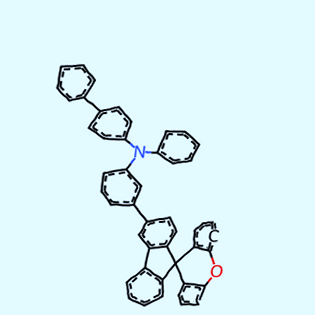 c1ccc(-c2ccc(N(c3ccccc3)c3cccc(-c4ccc5c(c4)-c4ccccc4C54c5ccccc5Oc5ccccc54)c3)cc2)cc1